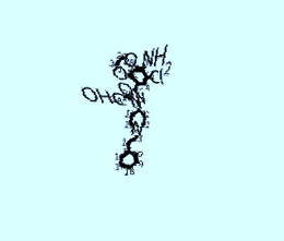 Nc1c(Cl)cc(C2=NN(C3CCN(CCc4ccccc4)CC3)C(C=O)O2)c2c1OCCO2